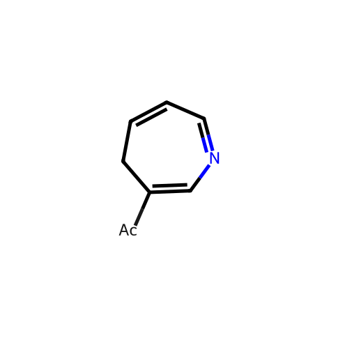 CC(=O)C1=CN=CC=CC1